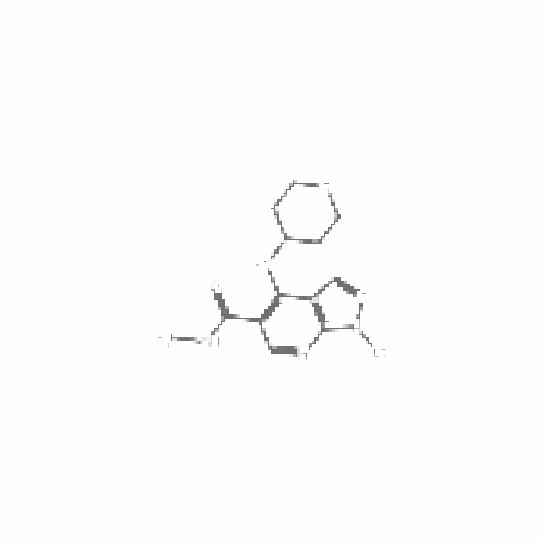 CCn1ncc2c(NC3CCOCC3)c(C(=O)NN)cnc21